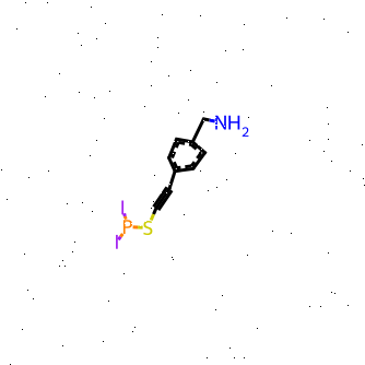 NCc1ccc(C#CSP(I)I)cc1